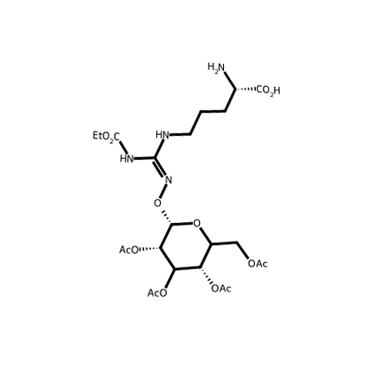 CCOC(=O)N/C(=N\O[C@@H]1OC(COC(C)=O)[C@H](OC(C)=O)C(OC(C)=O)[C@@H]1OC(C)=O)NCCC[C@H](N)C(=O)O